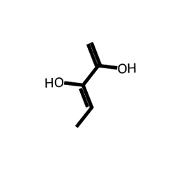 C=C(O)C(O)=CC